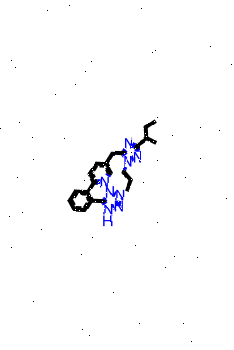 CCCn1nc(C(C)CC)nc1Cc1ccc(-c2ccccc2-c2nnn[nH]2)nc1